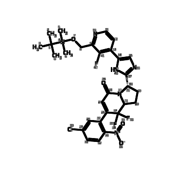 CC(C)(C)[Si](C)(C)OCc1nccc(-c2cnc([C@@H]3CCC4N3C(=O)C=C(c3cc(Cl)ccc3[N+](=O)[O-])C4(F)F)[nH]2)c1F